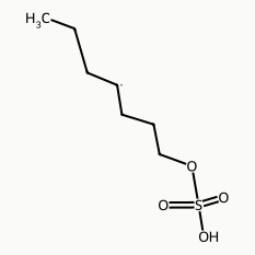 CCC[CH]CCCOS(=O)(=O)O